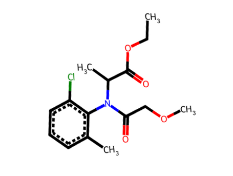 CCOC(=O)C(C)N(C(=O)COC)c1c(C)cccc1Cl